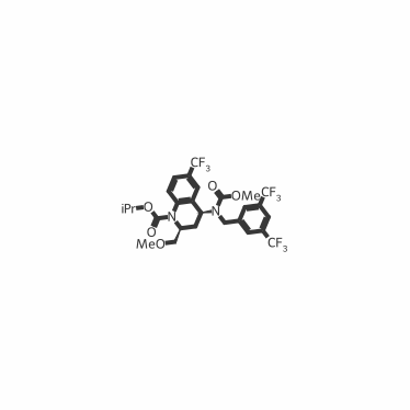 COC[C@@H]1C[C@H](N(Cc2cc(C(F)(F)F)cc(C(F)(F)F)c2)C(=O)OC)c2cc(C(F)(F)F)ccc2N1C(=O)OC(C)C